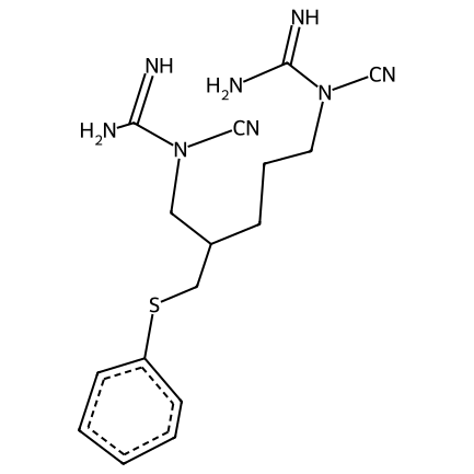 N#CN(CCCC(CSc1ccccc1)CN(C#N)C(=N)N)C(=N)N